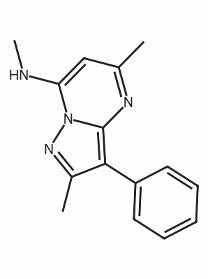 CNc1cc(C)nc2c(-c3ccccc3)c(C)nn12